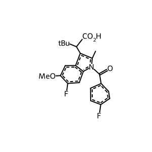 COc1cc2c(C(C(=O)O)C(C)(C)C)c(C)n(C(=O)c3ccc(F)cc3)c2cc1F